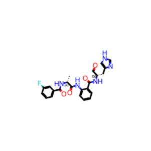 C[C@@H](NC(=O)c1cccc(F)c1)C(=O)Nc1ccccc1C(=O)N[C@H](C=O)Cc1c[nH]cn1